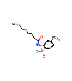 CCCCCCCCCCCCCCCC(=O)Nc1cc([N+](=O)[O-])ccc1[PH](=O)Cl